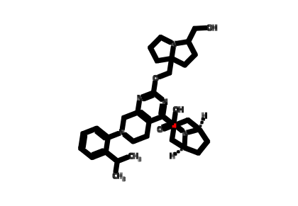 CC(C)c1ccccc1N1CCc2c(nc(OCC34CCCN3C(CO)CC4)nc2N2C[C@H]3CC[C@@H](C2)N3C(=O)O)C1